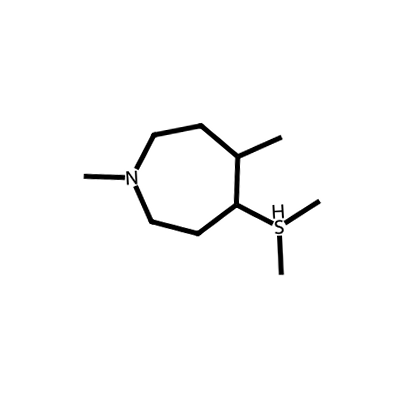 CC1CCN(C)CCC1[SH](C)C